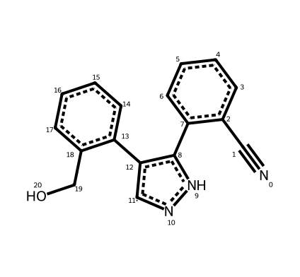 N#Cc1ccccc1-c1[nH]n[c]c1-c1ccccc1CO